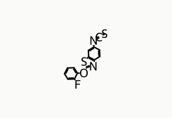 Fc1ccccc1Oc1nc2ccc(N=C=S)cc2s1